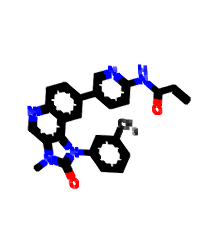 C=CC(=O)Nc1ccc(-c2ccc3ncc4c(c3c2)n(-c2cccc(C(F)(F)F)c2)c(=O)n4C)cn1